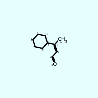 C/C(=C/C=O)C1CCCCC1